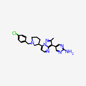 Cc1nn2c(C3CCCN(Cc4ccc(Cl)cc4)C3)ccnc2c1-c1cnc(N)nc1